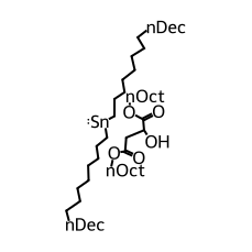 CCCCCCCCCCCCCCCCC[CH2][Sn][CH2]CCCCCCCCCCCCCCCCC.CCCCCCCCOC(=O)CC(O)C(=O)OCCCCCCCC